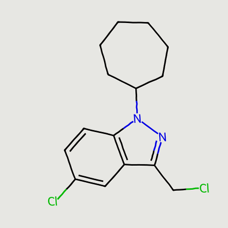 ClCc1nn(C2CCCCCC2)c2ccc(Cl)cc12